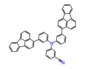 N#Cc1cccc(N(c2cccc(-c3ccc4c5c(cccc35)-c3ccccc3-4)c2)c2cccc(-c3ccc4c5c(cccc35)-c3ccccc3-4)c2)c1